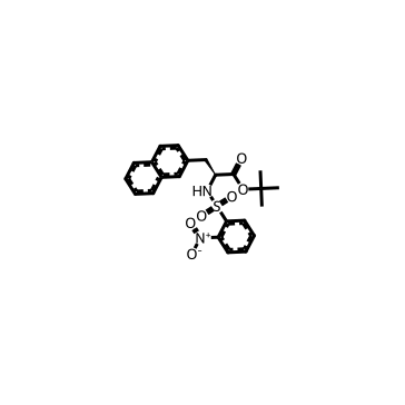 CC(C)(C)OC(=O)[C@H](Cc1ccc2ccccc2c1)NS(=O)(=O)c1ccccc1[N+](=O)[O-]